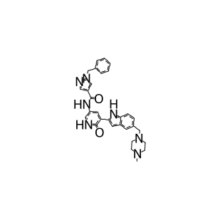 CN1CCN(Cc2ccc3[nH]c(-c4cc(NC(=O)c5cnn(Cc6ccccc6)c5)c[nH]c4=O)cc3c2)CC1